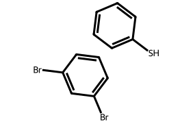 Brc1cccc(Br)c1.Sc1ccccc1